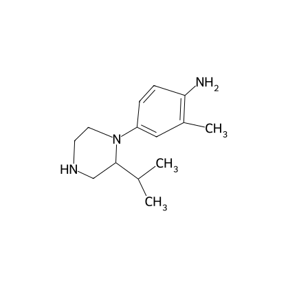 Cc1cc(N2CCNCC2C(C)C)ccc1N